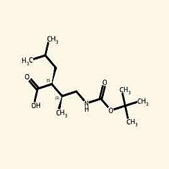 CC(C)C[C@H](C(=O)O)[C@H](C)CNC(=O)OC(C)(C)C